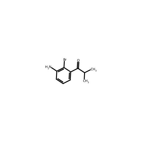 CC(C)C(=O)c1cccc(N)c1Br